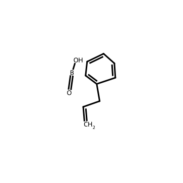 C=CCc1ccccc1.O=BO